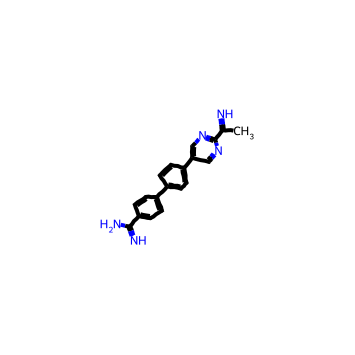 CC(=N)c1ncc(-c2ccc(-c3ccc(C(=N)N)cc3)cc2)cn1